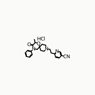 CC1OC2(CCN(CCc3ccc(C#N)cn3)CC2)CN(c2ccccc2)C1=O.Cl